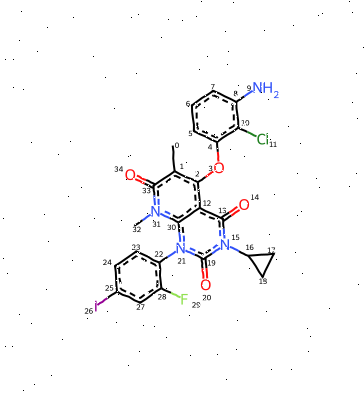 Cc1c(Oc2cccc(N)c2Cl)c2c(=O)n(C3CC3)c(=O)n(-c3ccc(I)cc3F)c2n(C)c1=O